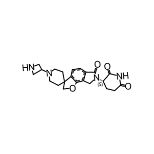 O=C1CC[C@H](N2Cc3c(ccc4c3OCC43CCN(C4CNC4)CC3)C2=O)C(=O)N1